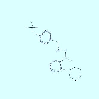 CCCC(NC(=O)Cc1ccc(OC(C)(C)C(=O)O)cc1)c1ccccc1N1CCCCC1